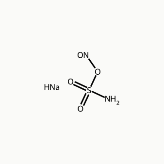 NS(=O)(=O)ON=O.[NaH]